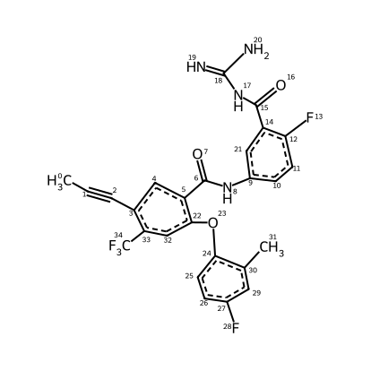 CC#Cc1cc(C(=O)Nc2ccc(F)c(C(=O)NC(=N)N)c2)c(Oc2ccc(F)cc2C)cc1C(F)(F)F